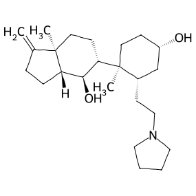 C=C1CC[C@H]2[C@H](O)[C@@H]([C@@]3(C)CC[C@H](O)C[C@@H]3CCN3CCCC3)CC[C@]12C